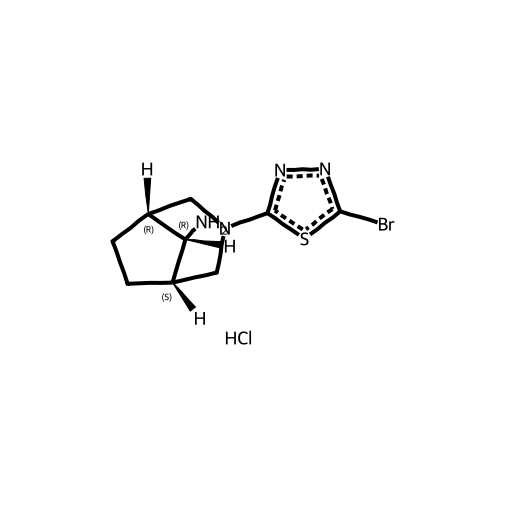 Cl.N[C@H]1[C@@H]2CC[C@H]1CN(c1nnc(Br)s1)C2